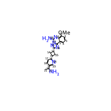 COc1cccc2c1nc(N)n1nc([C@H]3C[C@@H](c4ccc(C(C)N)cn4)C3)nc21